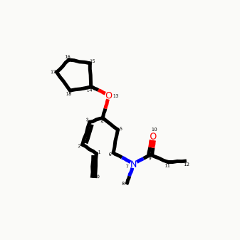 C=C/C=C\C(CCN(C)C(=O)CC)OC1CCCC1